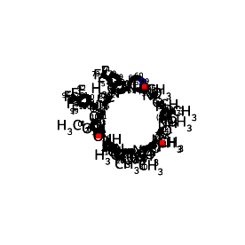 CCO[C@@H]1C[C@H]2C(=O)NC3(CCC3)C(=O)N(C)[C@@H](CC(C)C)C(=O)N(C)[C@H](C(=O)N(C)C)CC(=O)N(C)[C@@H](CC)C(=O)N[C@@H]([C@@H](C)CC)C(=O)N(C)CC(=O)N(C)[C@H]3C/C=C\CCN(C3=O)[C@@H](Cc3ccc(C(F)(F)F)cc3)C(=O)N(C)CC(=O)N[C@@H](CCc3cc(F)c(C(F)(F)F)c(F)c3)C(=O)N2C1